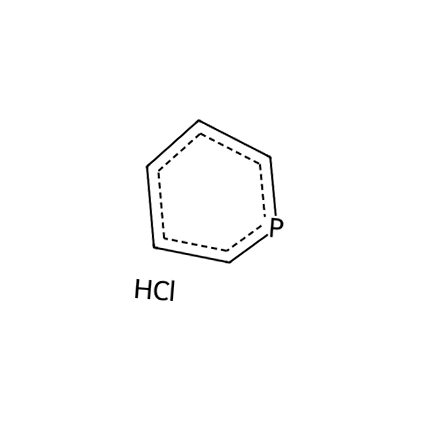 Cl.c1ccpcc1